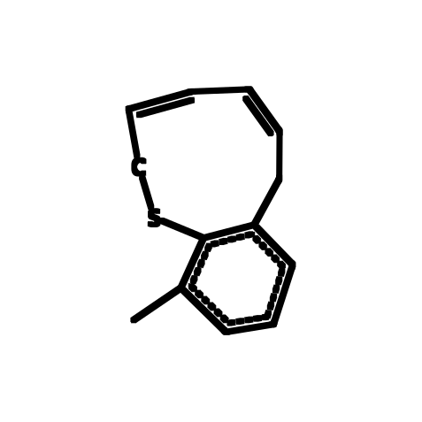 Cc1cccc2c1SC/C=C\C=C/C2